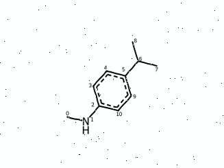 CNc1ccc(C(C)C)cc1